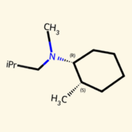 CC(C)CN(C)[C@@H]1CCCC[C@@H]1C